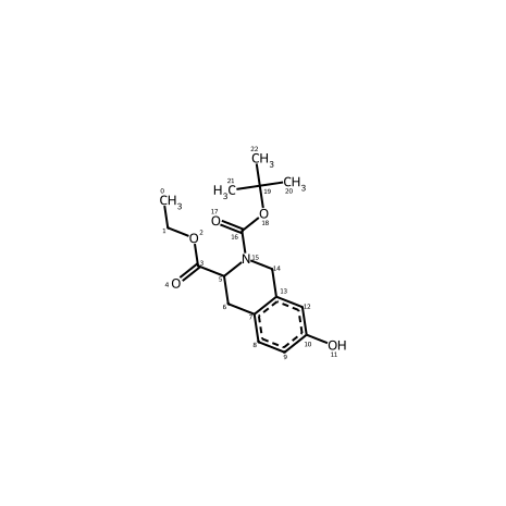 CCOC(=O)C1Cc2ccc(O)cc2CN1C(=O)OC(C)(C)C